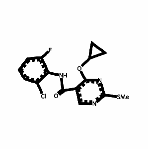 CSc1ncc(C(=O)Nc2c(F)cccc2Cl)c(OC2CC2)n1